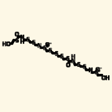 O=C(NCSCSC/N=C/[S+]([O-])CSCSCSCSC(=O)NCSCSC/N=C/[S+]([O-])CCO)SCCO